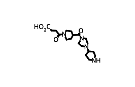 O=C(O)CCC(=O)N1CCC(C(=O)N2CCN(C3CCNCC3)CC2)CC1